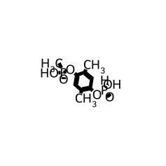 Cc1cc(OP(C)(=O)O)c(C)cc1O[PH](=O)O